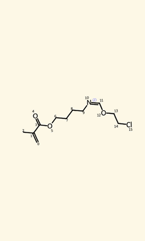 C=C(C)C(=O)OCCCC/N=C\OCCCl